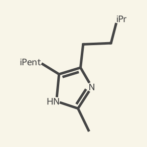 CCCC(C)c1[nH]c(C)nc1CCC(C)C